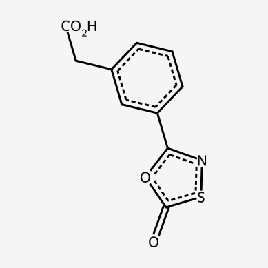 O=C(O)Cc1cccc(-c2nsc(=O)o2)c1